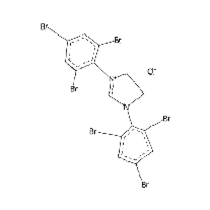 Brc1cc(Br)c(N2C=[N+](c3c(Br)cc(Br)cc3Br)CC2)c(Br)c1.[Cl-]